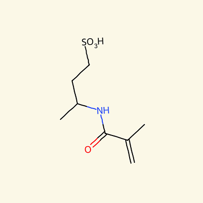 C=C(C)C(=O)NC(C)CCS(=O)(=O)O